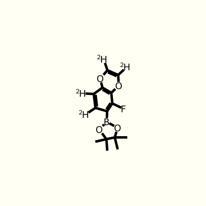 [2H]C1=C([2H])Oc2c(F)c(B3OC(C)(C)C(C)(C)O3)c([2H])c([2H])c2O1